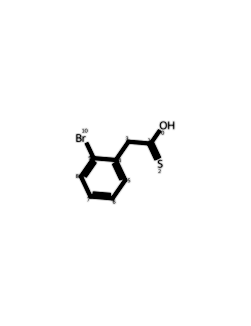 OC(=S)Cc1ccccc1Br